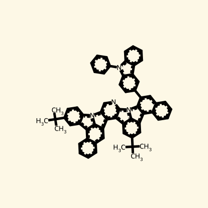 CC(C)(C)c1ccc2c(c1)c1c3ccccc3cc3c4c5c6cc(C(C)(C)C)cc7c8c9ccccc9cc(-c9ccc%10c(c9)c9ccccc9n%10-c9ccccc9)c8n(c5ncc4n2c31)c67